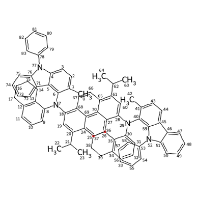 Cc1ccc2c(c1N(c1cccc3c1CCCC3)c1cc(C(C)C)c3ccc4c(N(c5cccc6c5CCCC6)c5c(C)ccc6c7ccccc7n(-c7ccccc7)c56)cc(C(C)C)c5ccc1c3c54)c1ccccc1n2-c1ccccc1